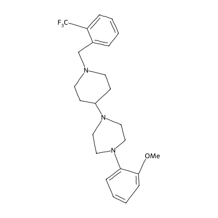 COc1ccccc1N1CCN(C2CCN(Cc3ccccc3C(F)(F)F)CC2)CC1